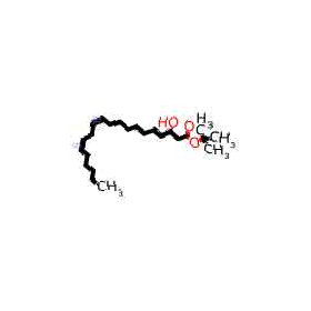 CCCCC/C=C\C/C=C\CCCCCCC[C@@H](O)CC(=O)OC(C)(C)C